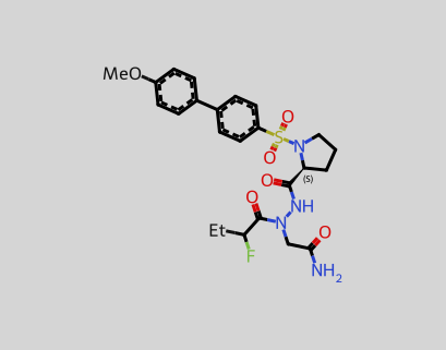 CCC(F)C(=O)N(CC(N)=O)NC(=O)[C@@H]1CCCN1S(=O)(=O)c1ccc(-c2ccc(OC)cc2)cc1